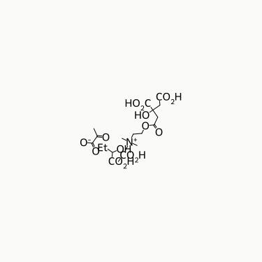 CC(=O)C(=O)[O-].CC(=O)O.CCC(O)C(=O)O.C[N+](C)(C)CCOC(=O)CC(O)(CC(=O)O)C(=O)O